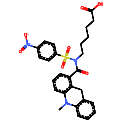 CN1c2ccccc2Cc2c(C(=O)N(CCCCCC(=O)O)S(=O)(=O)c3ccc([N+](=O)[O-])cc3)cccc21